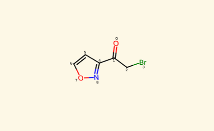 O=C(CBr)c1ccon1